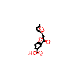 Cc1ccc(/C=C2\Oc3ccc(C(=O)O)cc3C2=O)o1